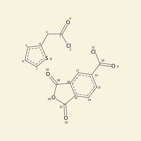 O=C(Cl)Cc1cccs1.O=C(Cl)c1ccc2c(c1)C(=O)OC2=O